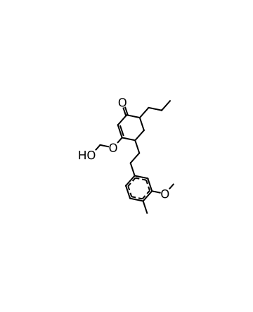 CCCC1CC(CCc2ccc(C)c(OC)c2)C(OCO)=CC1=O